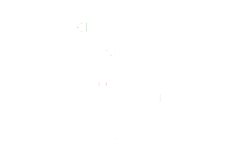 S=C(I)OOCl